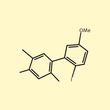 COc1ccc(I)c(-c2cc(C)c(C)cc2C)c1